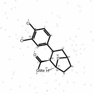 COC(=O)[C@H]1C(c2ccc(Cl)c(Cl)c2)CC2CC[C@@H]1O2